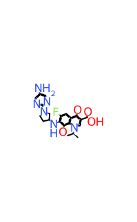 C[C@H]1COc2c(NC3CCN(c4ncc(N)cn4)C3)c(F)cc3c(=O)c(C(=O)O)cn1c23